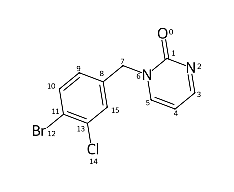 O=c1ncccn1Cc1ccc(Br)c(Cl)c1